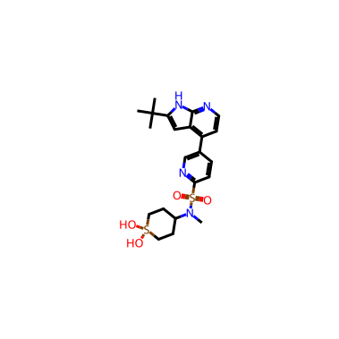 CN(C1CCS(O)(O)CC1)S(=O)(=O)c1ccc(-c2ccnc3[nH]c(C(C)(C)C)cc23)cn1